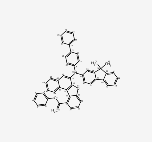 C=C(Oc1ccccc1)c1cccc2oc3c(N(c4ccc(-c5ccccc5)cc4)c4ccc5c(c4)C(C)(C)c4ccccc4-5)cc4ccccc4c3c12